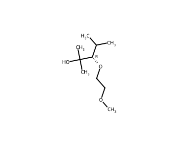 COCCO[C@@H](C(C)C)C(C)(C)O